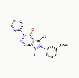 CCc1c2c(=O)n(-c3ccccn3)ncc2c(C)n1-c1cccc(OC)c1